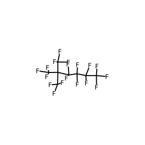 FC(F)(F)C(F)(F)C(F)(F)C(F)(F)C(C(F)(F)F)(C(F)(F)F)C(F)(F)F